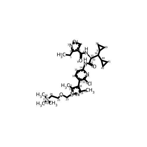 CCc1nocc1C(=O)N[C@H](C(=O)Nc1ccc(-c2c(C)nn(COCCS(C)(C)C)c2C)c(Cl)n1)C(C1CC1)C1CC1